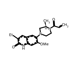 C=CC(=O)N1CCN(c2cc3cc(CC)c(=O)[nH]c3cc2OC)C[C@H]1C